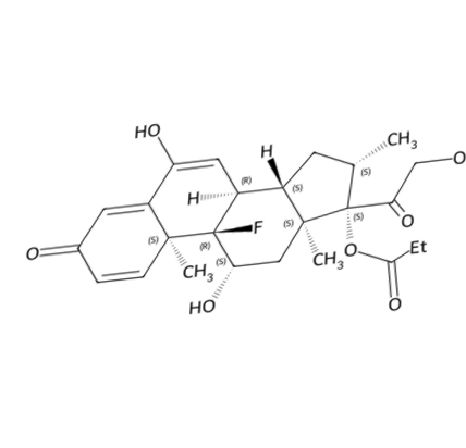 CCC(=O)O[C@@]1(C(=O)CO)[C@@H](C)C[C@H]2[C@@H]3C=C(O)C4=CC(=O)C=C[C@]4(C)[C@@]3(F)[C@@H](O)C[C@@]21C